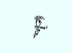 O=C(NC1(CO)CCN(c2nccn3ccnc23)C1)c1ccn(-c2ccc(F)cc2)n1